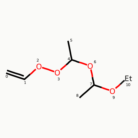 C=COOC(C)OC(C)OCC